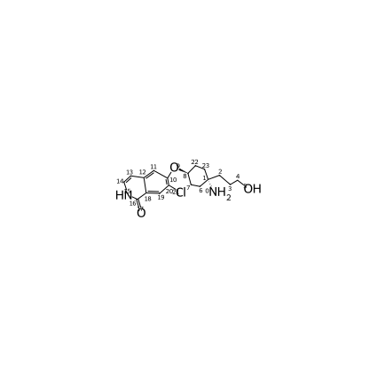 N[C@]1(CCCO)CC[C@@H](Oc2cc3cc[nH]c(=O)c3cc2Cl)CC1